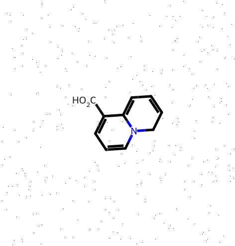 O=C(O)C1=CC=CN2CC=CC=C12